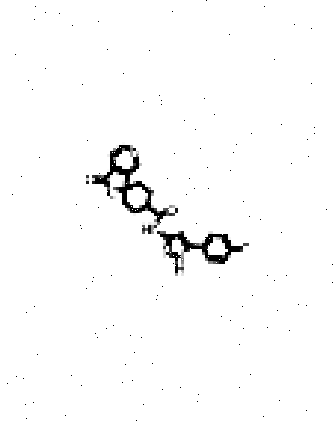 O=C1OC2(CCC(C(=O)Nc3cc(-c4ccc(F)cc4)[nH]n3)CC2)c2cnccc21